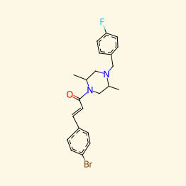 CC1CN(C(=O)C=Cc2ccc(Br)cc2)C(C)CN1Cc1ccc(F)cc1